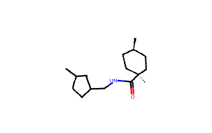 CC1CCC(CNC(=O)[C@]2(C)CC[C@H](C)CC2)C1